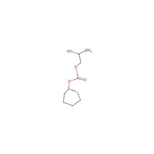 CC(O)COC(=O)OC1CCCCC1